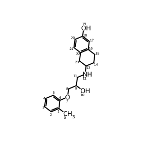 Cc1ccccc1OCC(O)CNC1CCc2cc(O)ccc2C1